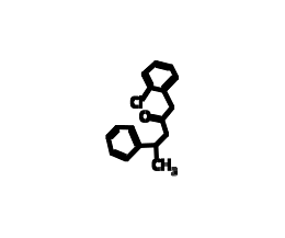 CC(CC(=O)Cc1ccccc1Cl)c1ccccc1